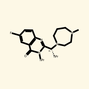 CCC[C@H](c1nc2ccc(F)cc2c(=O)n1CCC)N1CCCN(C)CC1